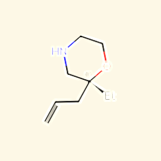 C=CC[C@]1(CC)CNCCO1